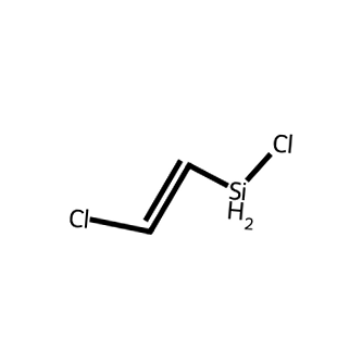 ClC=C[SiH2]Cl